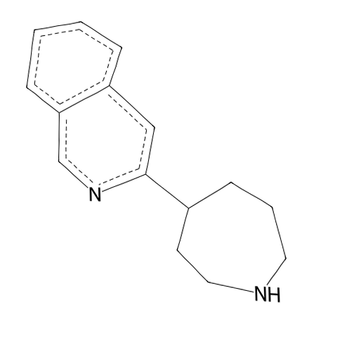 c1ccc2cc(C3CCCNCC3)ncc2c1